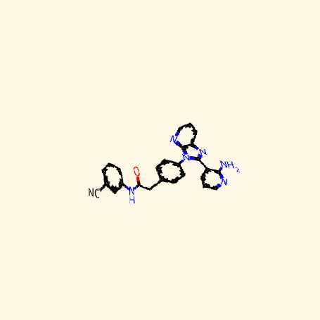 N#Cc1cccc(NC(=O)Cc2ccc(-n3c(-c4cccnc4N)nc4cccnc43)cc2)c1